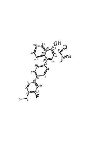 CCc1ccc(-c2ccc(-c3cc(C(=O)N(C)C)c(O)c4ccccc34)cc2)cc1F